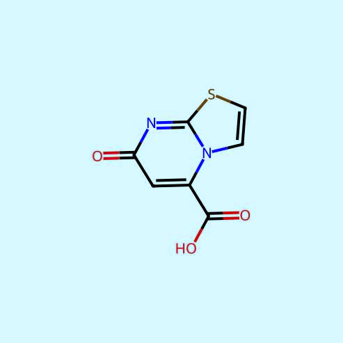 O=C(O)c1cc(=O)nc2sccn12